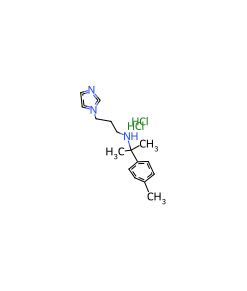 Cc1ccc(C(C)(C)NCCCn2ccnc2)cc1.Cl.Cl